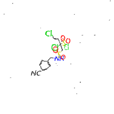 N#Cc1ccc(CNS(=O)(=O)CC(Cl)(CCCl)S(=O)(=O)Cl)cc1